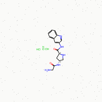 Cl.Cl.Cl.NCC(=O)N[C@H]1CN[C@H](C(=O)Nc2cnc3ccccc3c2)C1